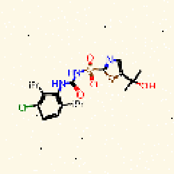 CC(C)c1ccc(Cl)c(C(C)C)c1NC(=O)NS(=O)(=O)c1ncc(C(C)(C)O)s1